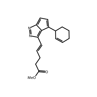 COC(=O)CCC=CC1=C2C(=CC=C2C2C=CCCC2)N=N1